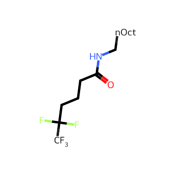 [CH2]CCCCCCCCNC(=O)CCCC(F)(F)C(F)(F)F